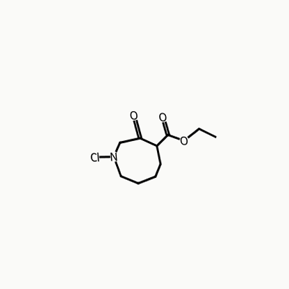 CCOC(=O)C1CCCCN(Cl)CC1=O